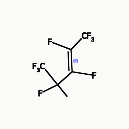 CC(F)(/C(F)=C(\F)C(F)(F)F)C(F)(F)F